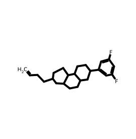 C=CCCC1CCC2C(CCC3CC(c4cc(F)cc(F)c4)CCC32)C1